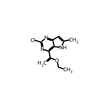 C=C(OCC)c1nc(Cl)nc2cc(C)[nH]c12